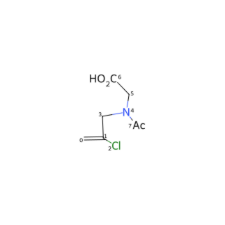 C=C(Cl)CN(CC(=O)O)C(C)=O